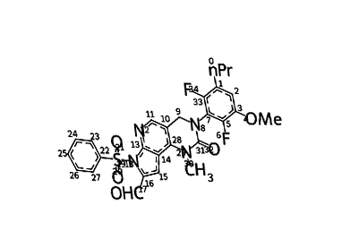 CCCc1cc(OC)c(F)c(N2Cc3cnc4c(cc(C=O)n4S(=O)(=O)c4ccccc4)c3N(C)C2=O)c1F